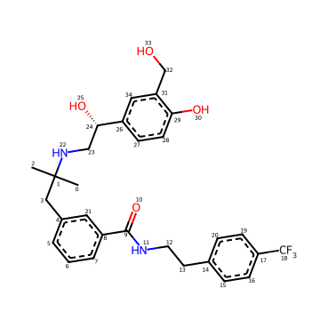 CC(C)(Cc1cccc(C(=O)NCCc2ccc(C(F)(F)F)cc2)c1)NC[C@H](O)c1ccc(O)c(CO)c1